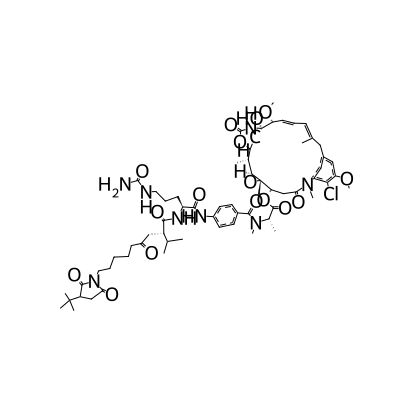 COc1cc2cc(c1Cl)N(C)C(=O)C[C@H](OC(=O)[C@H](C)N(C)C(=O)c1ccc(NC(=O)[C@H](CCCNC(N)=O)NC(=O)[C@@H](CC(=O)CCCCCN3C(=O)CC(C(C)(C)C)C3=O)C(C)C)cc1)[C@]1(C)O[C@H]1[C@H](C)[C@@H]1C[C@@](O)(NC(=O)O1)[C@H](OC)/C=C/C=C(\C)C2